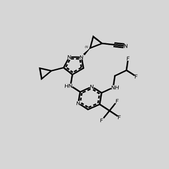 N#CC1C[C@@H]1n1cc(Nc2ncc(C(F)(F)F)c(NCC(F)F)n2)c(C2CC2)n1